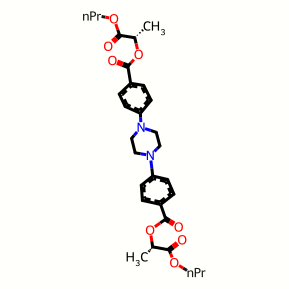 CCCOC(=O)[C@H](C)OC(=O)c1ccc(N2CCN(c3ccc(C(=O)O[C@@H](C)C(=O)OCCC)cc3)CC2)cc1